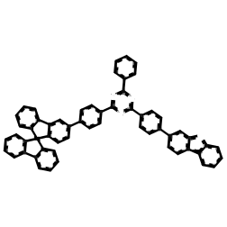 c1ccc(-c2nc(-c3ccc(-c4ccc5c(c4)-c4ccccc4C54c5ccccc5-c5ccccc54)cc3)nc(-c3ccc(-c4ccc5c(c4)sc4ccccc45)cc3)n2)cc1